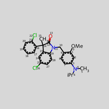 COc1cc(N(C)C(C)C)ccc1CN1C(=O)C(C)(c2ccccc2Cl)c2cc(Cl)ccc21